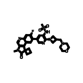 CN1C(=O)C2(CCC2)c2c1cnc1cc(F)c(-c3cnc(N4CC(CN5CCOCC5)C4)c(NS(C)(=O)=O)c3)cc21